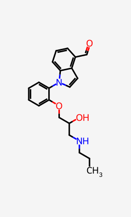 CCCNCC(O)COc1ccccc1-n1ccc2c(C=O)cccc21